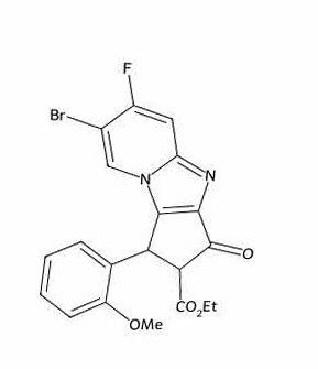 CCOC(=O)C1C(=O)c2nc3cc(F)c(Br)cn3c2C1c1ccccc1OC